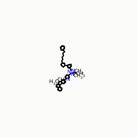 CC(C)(C)c1nc(-c2ccc(-c3ccc4c(c3)C(C)(C)c3ccc5ccccc5c3-4)nc2)nc(-c2cccc(C3C=C(CCCCCCc4ccccc4)C=CC3)c2)n1